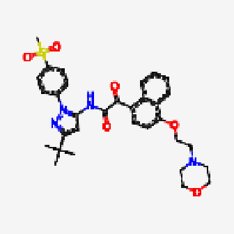 CC(C)(C)c1cc(NC(=O)C(=O)c2ccc(OCCN3CCOCC3)c3ccccc23)n(-c2ccc(S(C)(=O)=O)cc2)n1